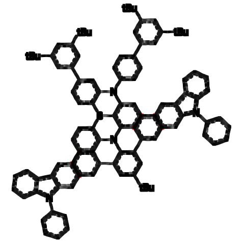 CC(C)(C)c1cc(-c2ccc(N3c4cc(-c5cc(C(C)(C)C)cc(C(C)(C)C)c5)ccc4B4c5ccc(-c6ccc7c(c6)c6ccccc6n7-c6ccccc6)cc5N(c5c(-c6ccccc6)cc(C(C)(C)C)cc5-c5ccccc5)c5cc(-c6ccc7c(c6)c6ccccc6n7-c6ccccc6)cc3c54)cc2)cc(C(C)(C)C)c1